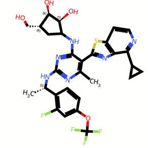 Cc1nc(N[C@@H](C)c2ccc(OC(F)(F)F)cc2F)nc(NC2C[C@H](CO)[C@@H](O)[C@H]2O)c1-c1nc2c(C3CC3)nccc2s1